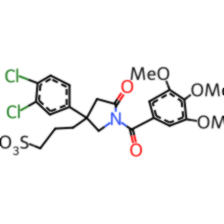 COc1cc(C(=O)N2CC(CCCS(=O)(=O)O)(c3ccc(Cl)c(Cl)c3)CC2=O)cc(OC)c1OC